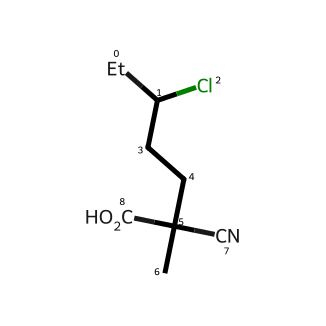 CCC(Cl)CCC(C)(C#N)C(=O)O